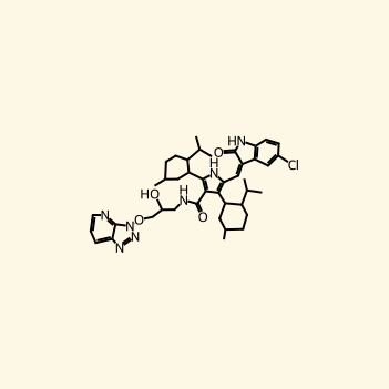 CC1CCC(C(C)C)C(c2[nH]c(C=C3C(=O)Nc4ccc(Cl)cc43)c(C3CC(C)CCC3C(C)C)c2C(=O)NCC(O)COn2nnc3cccnc32)C1